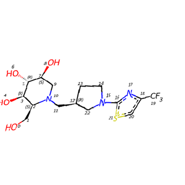 OC[C@H]1[C@@H](O)[C@H](O)[C@@H](O)CN1C[C@H]1CCN(c2nc(C(F)(F)F)cs2)C1